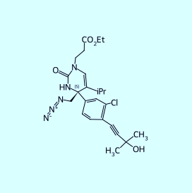 CCOC(=O)CCN1C=C(C(C)C)[C@](CN=[N+]=[N-])(c2ccc(C#CC(C)(C)O)c(Cl)c2)NC1=O